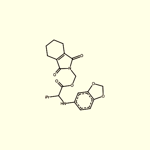 CC(C)C(Nc1ccc2c(c1)OCO2)C(=O)OCN1C(=O)C2=C(CCCC2)C1=O